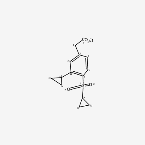 CCOC(=O)Cc1ccc(S(=O)(=O)C2CC2)c(C2CC2)c1